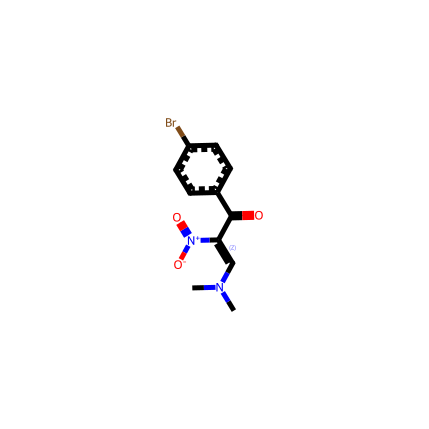 CN(C)/C=C(/C(=O)c1ccc(Br)cc1)[N+](=O)[O-]